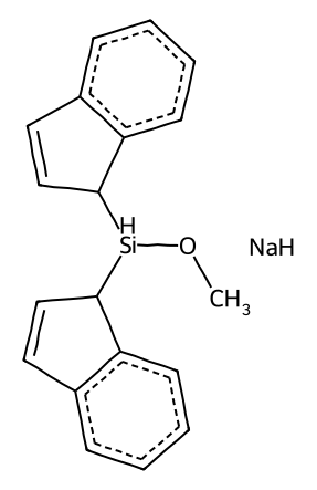 CO[SiH](C1C=Cc2ccccc21)C1C=Cc2ccccc21.[NaH]